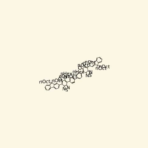 CCCCCCCCOc1c(OCCCCCCCC)c(-c2ccc3c(c2)C(CCCCCCCC)(CCCCCCCC)c2ccccc2-3)c2nsnc2c1-c1ccc2c(c1)C(CCCCCC)(CCCCCC)c1cc(-c3c(OCCCCCCCC)c(OCCCCCCCC)c(-c4ccc5c(c4)C(CCCCCCCC)(CCCCCCCC)c4ccccc4-5)c4nsnc34)ccc1-2